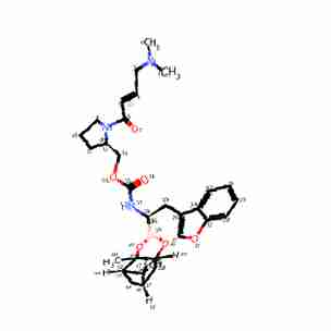 CN(C)C/C=C/C(=O)N1CCC[C@@H]1COC(=O)N[C@@H](Cc1coc2ccccc12)B1O[C@@H]2C[C@@H]3C[C@@H](C3(C)C)[C@]2(C)O1